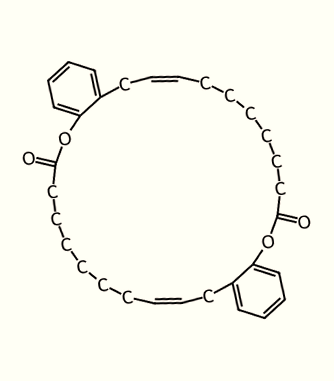 O=C1CCCCCCC=CCc2ccccc2OC(=O)CCCCCCC=CCc2ccccc2O1